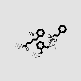 C=Cc1ccccc1C=C.NC(=O)C=CC=Cc1ccccc1.O=S(=O)([O-])C=Cc1ccccc1.[Na+]